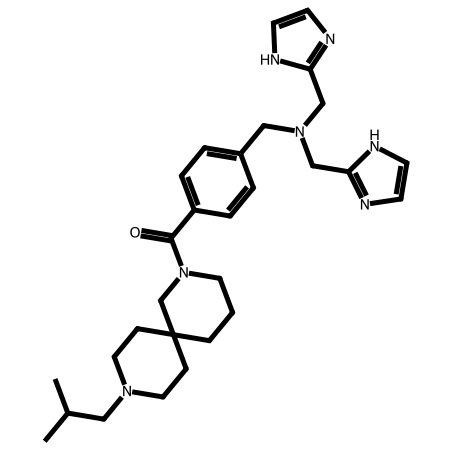 CC(C)CN1CCC2(CCCN(C(=O)c3ccc(CN(Cc4ncc[nH]4)Cc4ncc[nH]4)cc3)C2)CC1